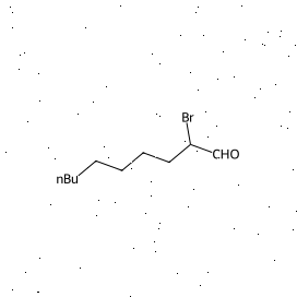 CCCCCCCCC(Br)C=O